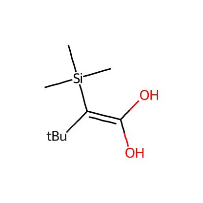 CC(C)(C)C(=C(O)O)[Si](C)(C)C